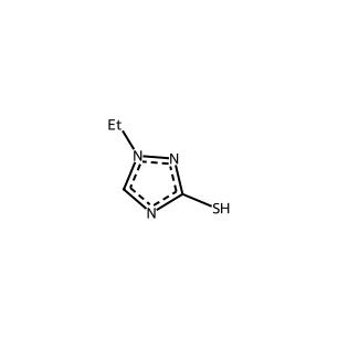 CCn1cnc(S)n1